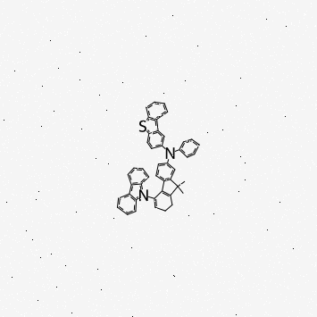 CC1(C)C2=C(C(n3c4ccccc4c4ccccc43)=CCC2)c2ccc(N(c3ccccc3)c3ccc4sc5ccccc5c4c3)cc21